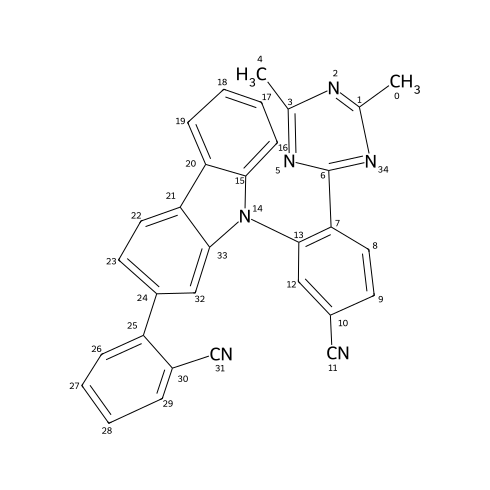 Cc1nc(C)nc(-c2ccc(C#N)cc2-n2c3ccccc3c3ccc(-c4ccccc4C#N)cc32)n1